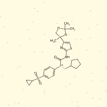 CC1(C)OCC(C)(c2csc(NC(=O)[C@H](CC3CCCC3)c3ccc(S(=O)(=O)C4CC4)cc3)n2)O1